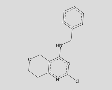 Clc1nc2c(c(NCc3ccccc3)n1)COCC2